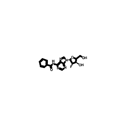 O=C(Nc1ncnc2c1ncn2[C@@H]1OC(CO)[C@@H](O)[C@H]1F)c1ccccc1